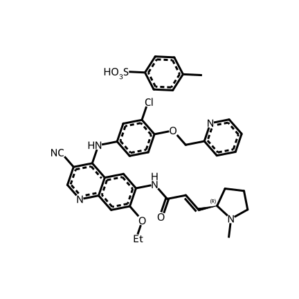 CCOc1cc2ncc(C#N)c(Nc3ccc(OCc4ccccn4)c(Cl)c3)c2cc1NC(=O)C=C[C@H]1CCCN1C.Cc1ccc(S(=O)(=O)O)cc1